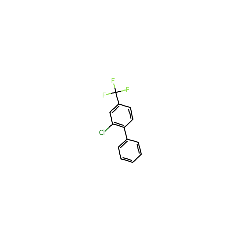 FC(F)(F)c1ccc(-c2ccccc2)c(Cl)c1